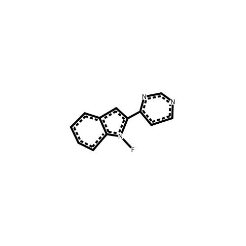 Fn1c(-c2ccncn2)cc2ccccc21